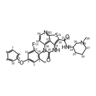 Cc1cc(Oc2ccccc2)cc(F)c1N1C(=O)Nc2c(C(=O)NC3CCCN(C)C3)sc3nccc1c23